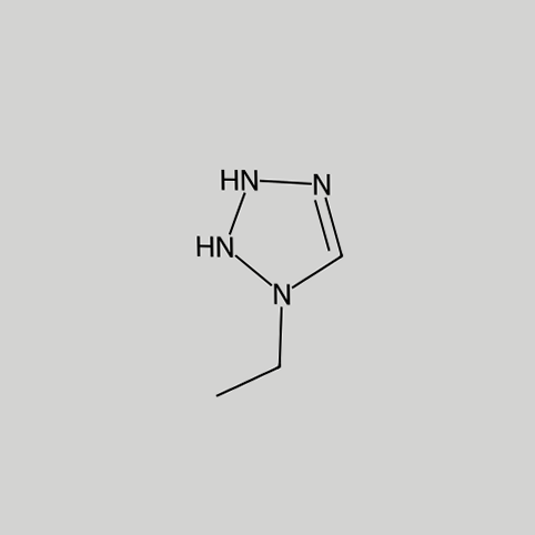 CCN1C=NNN1